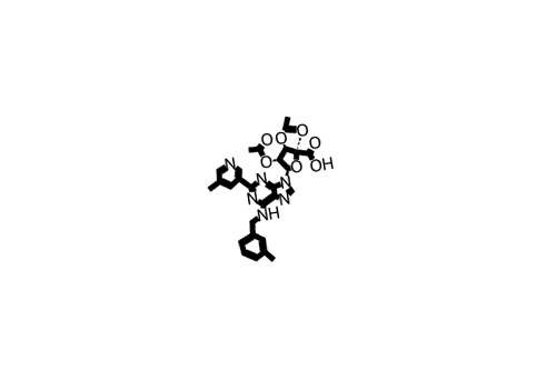 CC(=O)O[C@H]1[C@H](n2cnc3c(NCc4cccc(C)c4)nc(-c4cncc(C)c4)nc32)O[C@](C)(C(=O)O)[C@H]1OC(C)=O